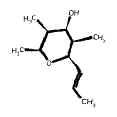 C/C=C/[C@H]1O[C@@H](C)[C@@H](C)[C@@H](O)[C@H]1C